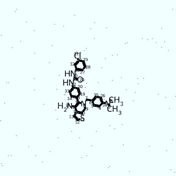 CN(C)c1ccc(CN2Cc3sccc3C(N)=C2c2ccc(NC(=O)Nc3cccc(Cl)c3)cc2)cc1